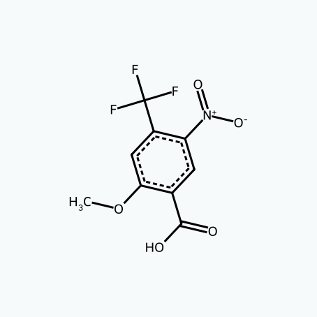 COc1cc(C(F)(F)F)c([N+](=O)[O-])cc1C(=O)O